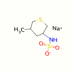 CC1CSCC(NS(=O)(=O)[O-])C1.[Na+]